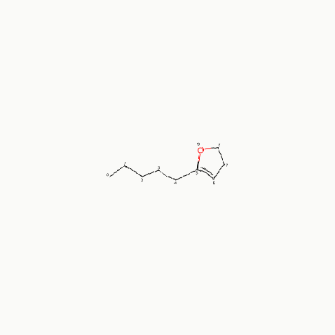 CCCCCC1=CCCO1